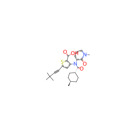 Cn1cccc(N(c2cc(C#CC(C)(C)C)sc2C(=O)O)C(=O)[C@H]2CC[C@H](C)CC2)c1=O